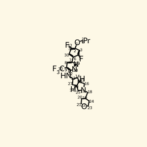 CC(C)Oc1cc(F)c(-c2cc(C(F)(F)F)c(NC3C[C@@H]4CN(CC5CCOCC5)C[C@@H]4C3)nn2)cc1F